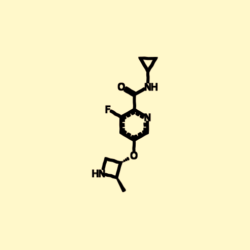 C[C@H]1NC[C@@H]1Oc1cnc(C(=O)NC2CC2)c(F)c1